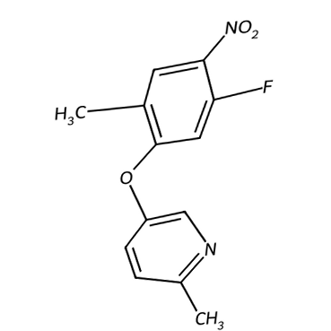 Cc1ccc(Oc2cc(F)c([N+](=O)[O-])cc2C)cn1